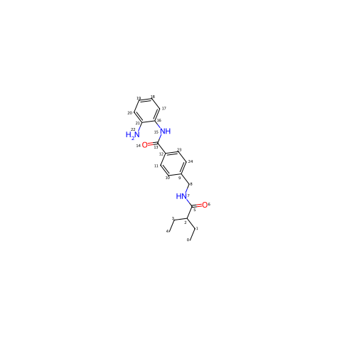 CCC(CC)C(=O)NCc1ccc(C(=O)Nc2ccccc2N)cc1